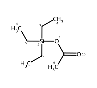 CC[Si](CC)(CC)OC(C)=O